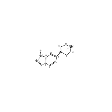 Cn1ncc2ccc(N3CCNCC3)cc21